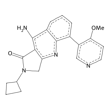 COc1ccncc1-c1cccc2c(N)c3c(nc12)CN(C1CCC1)C3=O